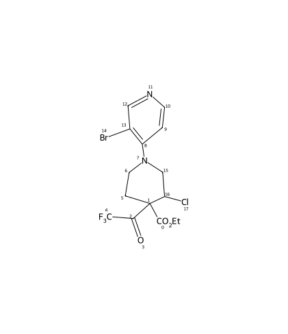 CCOC(=O)C1(C(=O)C(F)(F)F)CCN(c2ccncc2Br)CC1Cl